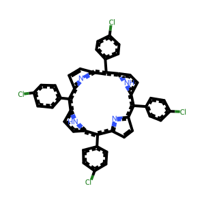 Clc1ccc(-c2c3nc(c(-c4ccc(Cl)cc4)c4ccc([nH]4)c(-c4ccc(Cl)cc4)c4nc(c(-c5ccc(Cl)cc5)c5ccc2[nH]5)C=C4)C=C3)cc1